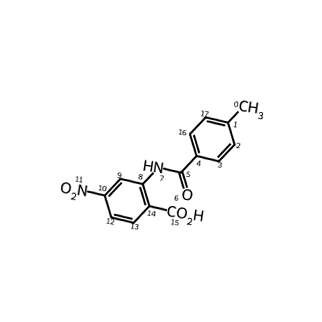 Cc1ccc(C(=O)Nc2cc([N+](=O)[O-])ccc2C(=O)O)cc1